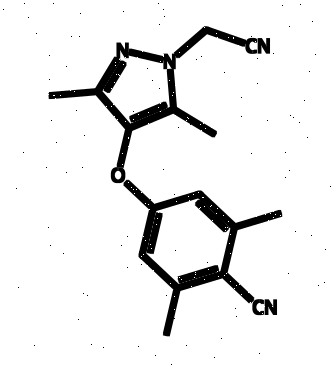 Cc1cc(Oc2c(C)nn(CC#N)c2C)cc(C)c1C#N